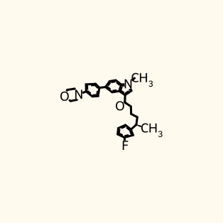 C[C@H](CCCC(=O)c1cn(C)c2ccc(-c3ccc(N4CCOCC4)cc3)cc12)c1cccc(F)c1